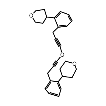 C(#COC#CCc1ccccc1C1CCOCC1)Cc1ccccc1C1CCOCC1